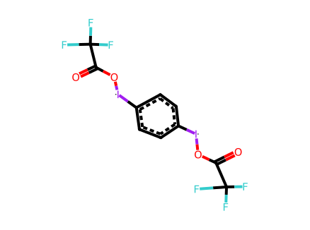 O=C(O[I]c1ccc([I]OC(=O)C(F)(F)F)cc1)C(F)(F)F